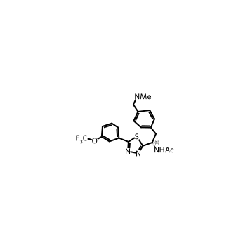 CNCc1ccc(C[C@H](NC(C)=O)c2nnc(-c3cccc(OC(F)(F)F)c3)s2)cc1